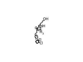 Cc1[nH]c(CCCCO)cc1C(=O)NCCCN1CCN(c2cccc(Cl)c2Cl)CC1